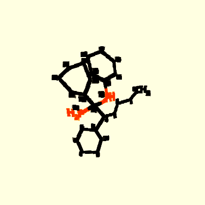 CCCCC(C1CCCCC1)C(P)(PC1CCCCC1)C1CCCCC1